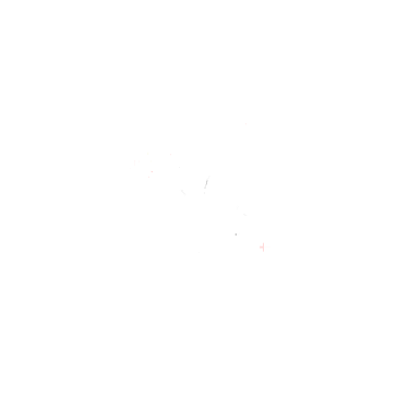 O=S(=O)(Oc1ccc(-c2ccc(O)c3c2CC2(CCCC2)C3)c2c1CC1(CCOCC1)C2)C(F)(F)F